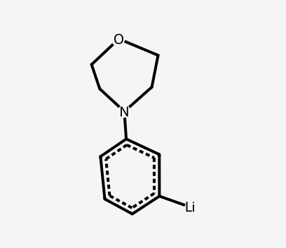 [Li][c]1cccc(N2CCOCC2)c1